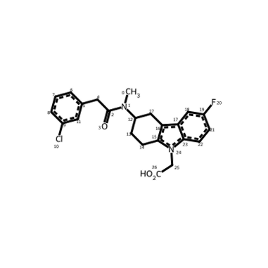 CN(C(=O)Cc1cccc(Cl)c1)C1CCc2c(c3cc(F)ccc3n2CC(=O)O)C1